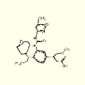 CCN(c1ccc(C(COC)CC(=O)O)cc1NC(=O)Nc1cc(C)on1)C1CCOCC1